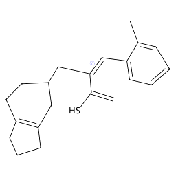 C=C(S)/C(=C\c1ccccc1C)CC1CCC2=C(CCC2)C1